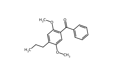 CCCc1cc(OC)c(C(=O)c2ccccc2)cc1OC